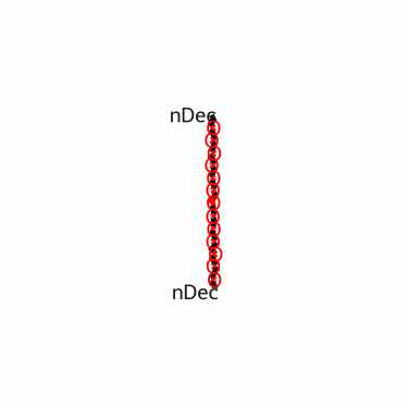 CCCCCCCCCCCCOCCOCCOCCOCCOCCOCCOCCOCCOCCOCCOCCOCCOCCCCCCCCCCCC